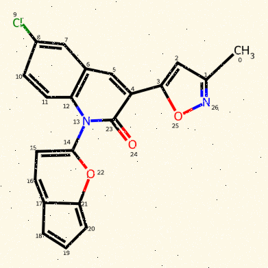 Cc1cc(-c2cc3cc(Cl)ccc3n(-c3ccc4cccc-4o3)c2=O)on1